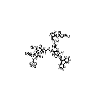 CC(C)(C)OC(=O)CC[C@H](NC(=O)N[C@@H](CCCCNC(=O)[C@H](CCCCNCc1nccn1CC(=O)OC(C)(C)C)NC(=O)OCC1c2ccccc2-c2ccccc21)C(=O)OC(C)(C)C)C(=O)OC(C)(C)C